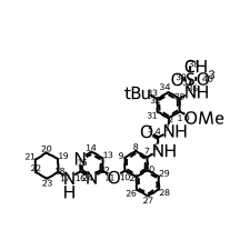 COc1c(NC(=O)Nc2ccc(Oc3ccnc(NC4CCCCC4)n3)c3ccccc23)cc(C(C)(C)C)cc1NS(C)(=O)=O